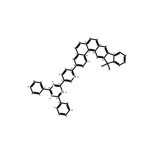 CC1(C)c2ccccc2-c2cc3ccc4ccc5cc(-c6ccc(-c7nc(-c8ccccc8)nc(-c8ccccc8)n7)cn6)ccc5c4c3cc21